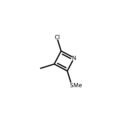 CSC1=C(C)C(Cl)=N1